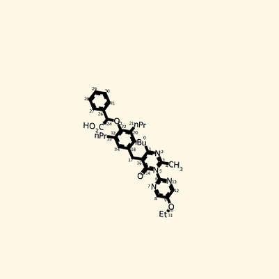 CCCCc1nc(C)n(-c2ncc(OCC)cn2)c(=O)c1Cc1cc(CCC)c(OC(C(=O)O)c2ccccc2)c(CCC)c1